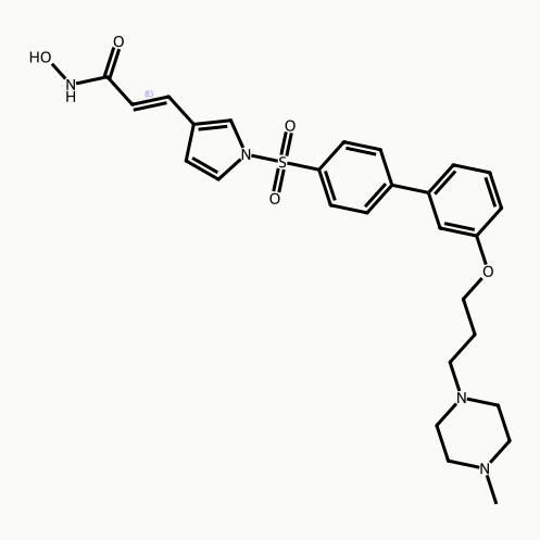 CN1CCN(CCCOc2cccc(-c3ccc(S(=O)(=O)n4ccc(/C=C/C(=O)NO)c4)cc3)c2)CC1